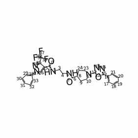 O=C(NCCNC(=O)C1CCN(c2nnc(-c3ccccc3)o2)CC1)c1cn(-c2ccccc2)nc1C(F)(F)F